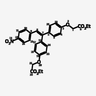 CCOC(=O)COc1ccc(C(=Cc2ccc([N+](=O)[O-])cc2)c2ccc(OCC(=O)OCC)cc2)cc1